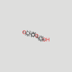 O=C1CCC(c2ccc(OCC3CCC(O)CC3)cc2)CC1